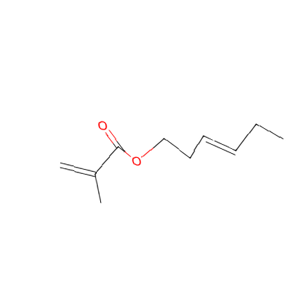 C=C(C)C(=O)OCCC=CCC